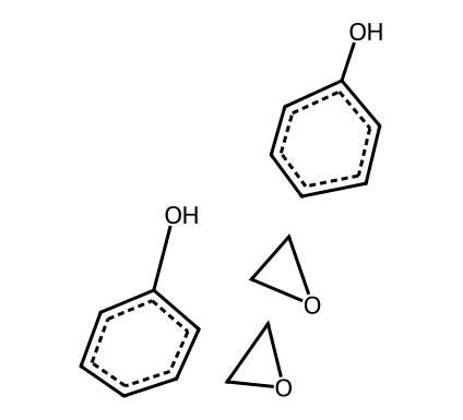 C1CO1.C1CO1.Oc1ccccc1.Oc1ccccc1